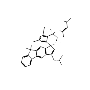 C/C(=C/C(C)O)O[C@]1(C)CN[C@]2(C=C(CC(C)C)c3cc4c(cc32)C(C)(C)c2ccccc2-4)c2cc(C)cc(C)c21